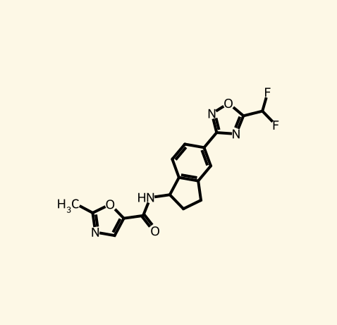 Cc1ncc(C(=O)NC2CCc3cc(-c4noc(C(F)F)n4)ccc32)o1